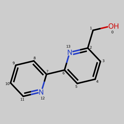 OCc1cccc(-c2ccccn2)n1